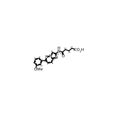 COc1cccc(-c2ccc3nc(NC(=O)CCCC(=O)O)cn3n2)c1